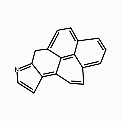 C1=CC2=c3ccc4cccc5ccc(c3c54)CC2=N1